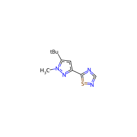 Cn1nc(-c2ncns2)cc1C(C)(C)C